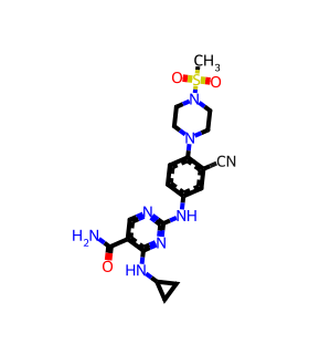 CS(=O)(=O)N1CCN(c2ccc(Nc3ncc(C(N)=O)c(NC4CC4)n3)cc2C#N)CC1